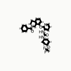 O=C(Nc1ccc(OC(F)(F)F)cc1)Nc1cccnc1Oc1cccc2c1CN(C(=O)c1ccccc1)CC2